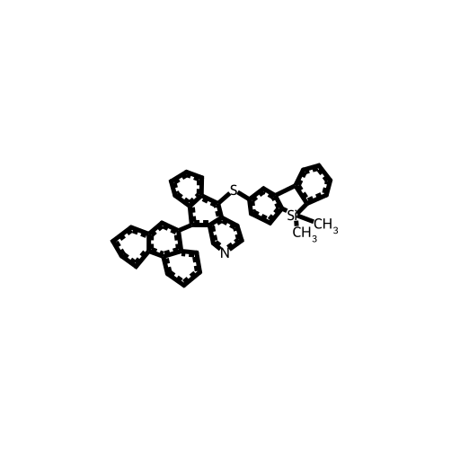 C[Si]1(C)c2ccccc2-c2cc(Sc3c4ccccc4c(-c4cc5ccccc5c5ccccc45)c4cnccc34)ccc21